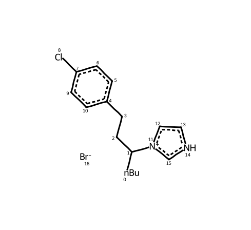 CCCCC(CCc1ccc(Cl)cc1)[n+]1cc[nH]c1.[Br-]